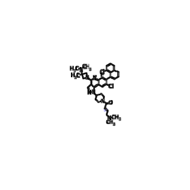 CN(C)C/C=C/C(=O)N1CCC(n2ncc3c(N4CC(C)(N(C)C)C4)nc4c(F)c(-c5cccc6cccc(Cl)c56)c(Cl)cc4c32)CC1